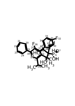 C#CC(C(=O)O)([PH](=O)O)C(C)(O)c1c(C(C)C)nc(-c2ccccc2)c(F)c1-c1ccc(F)cc1